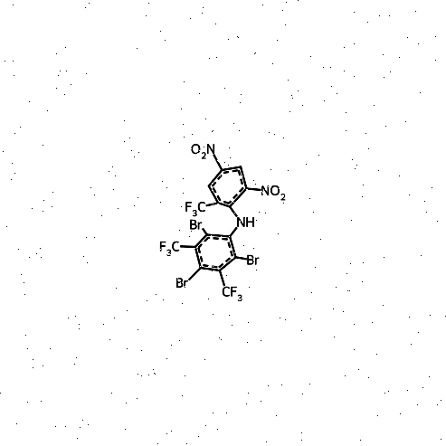 O=[N+]([O-])c1cc([N+](=O)[O-])c(Nc2c(Br)c(C(F)(F)F)c(Br)c(C(F)(F)F)c2Br)c(C(F)(F)F)c1